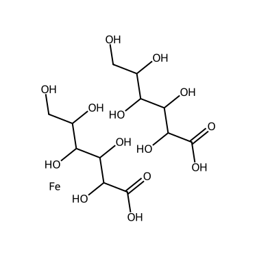 O=C(O)C(O)C(O)C(O)C(O)CO.O=C(O)C(O)C(O)C(O)C(O)CO.[Fe]